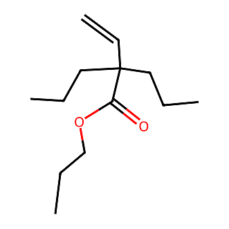 C=CC(CCC)(CCC)C(=O)OCCC